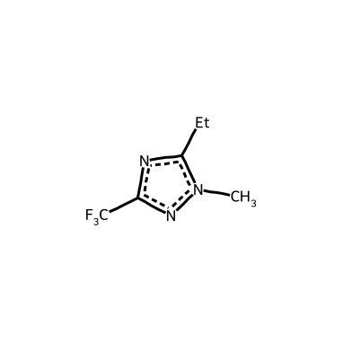 CCc1nc(C(F)(F)F)nn1C